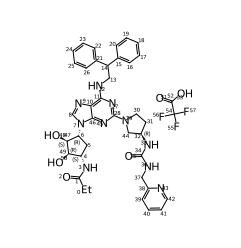 CCC(=O)N[C@H]1C[C@@H](n2cnc3c(NCC(c4ccccc4)c4ccccc4)nc(N4CC[C@@H](NC(=O)NCc5ccccn5)C4)nc32)[C@H](O)[C@@H]1O.O=C(O)C(F)(F)F